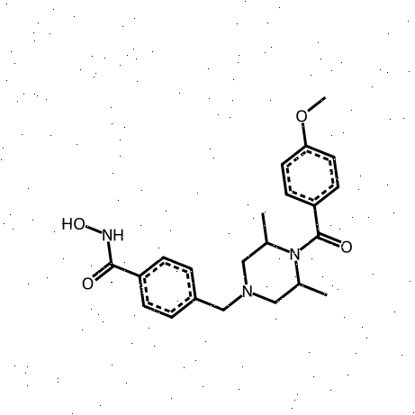 COc1ccc(C(=O)N2C(C)CN(Cc3ccc(C(=O)NO)cc3)CC2C)cc1